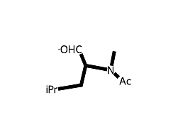 CC(=O)N(C)C([C]=O)CC(C)C